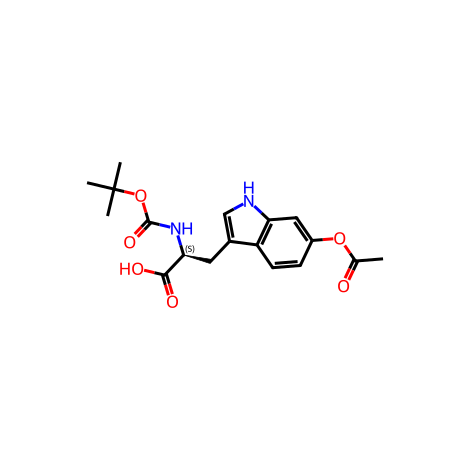 CC(=O)Oc1ccc2c(C[C@H](NC(=O)OC(C)(C)C)C(=O)O)c[nH]c2c1